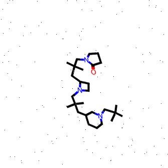 CC(C)(C)CN1CCCC(CC(C)(C)CN2CCC2CC(C)(C)CN2CCCC2=O)C1